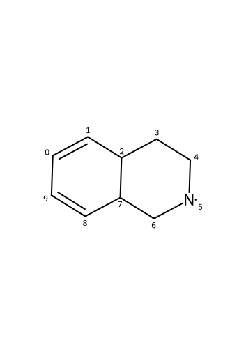 C1=CC2CC[N]CC2C=C1